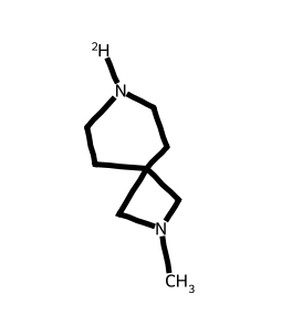 [2H]N1CCC2(CC1)CN(C)C2